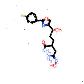 NC(=O)C(CCC(O)c1coc(-c2ccc(F)cc2)n1)C/C(N)=N/O